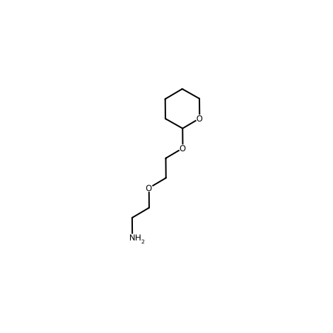 NCCOCCOC1CCCCO1